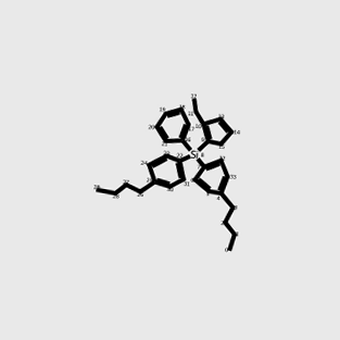 CCCCc1ccc([Si](C2=C(CC)C=CC2)(c2ccccc2)c2ccc(CCCC)cc2)cc1